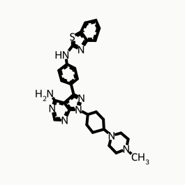 CN1CCN(C2CCC(n3nc(-c4ccc(Nc5nc6ccccc6s5)cc4)c4c(N)ncnc43)CC2)CC1